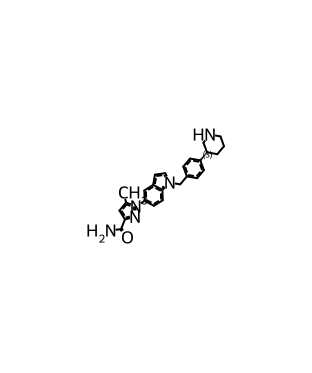 Cc1cc(C(N)=O)nn1-c1ccc2c(ccn2Cc2ccc([C@@H]3CCCNC3)cc2)c1